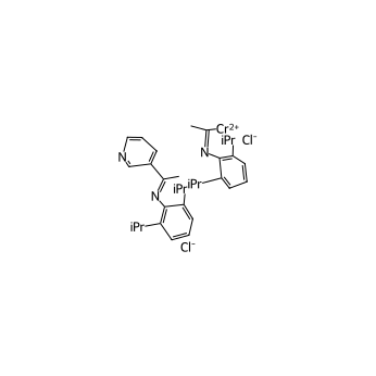 CC(=Nc1c(C(C)C)cccc1C(C)C)c1cccnc1.C[C]([Cr+2])=Nc1c(C(C)C)cccc1C(C)C.[Cl-].[Cl-]